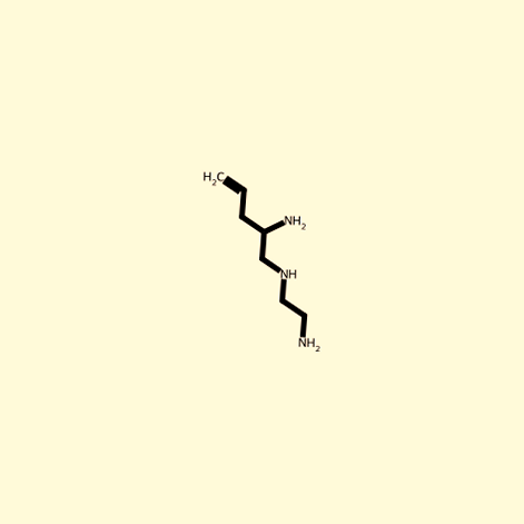 C=CCC(N)CNCCN